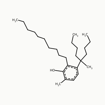 CCCCCCCCCCc1c(C(C)(CCCC)CCCC)ccc(C)c1O